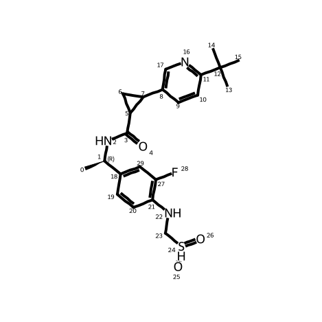 C[C@@H](NC(=O)C1CC1c1ccc(C(C)(C)C)nc1)c1ccc(NC[SH](=O)=O)c(F)c1